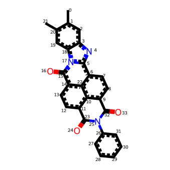 Cc1cc2nc3c4ccc5c6c(ccc(c(=O)n3c2cc1C)c64)C(=O)N(c1ccccc1)C5=O